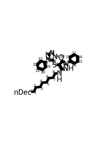 CCCCCCCCCCCCCCCCCCNc1[nH]n(-c2ccccc2)c(=O)c1Sc1nnnn1-c1ccccc1